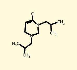 CC(C)CN1CC=C(Cl)N(CC(C)C)C1